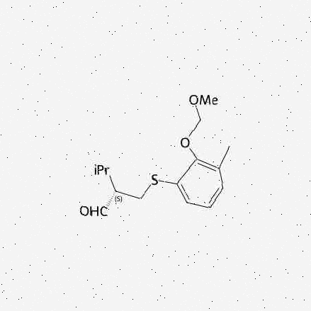 COCOc1c(C)cccc1SC[C@H](C=O)C(C)C